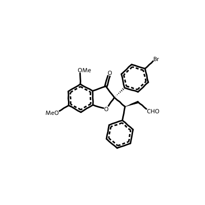 COc1cc(OC)c2c(c1)O[C@](c1ccc(Br)cc1)([C@@H](CC=O)c1ccccc1)C2=O